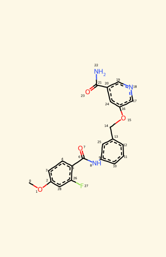 COc1ccc(C(=O)Nc2cccc(COc3cncc(C(N)=O)c3)c2)c(F)c1